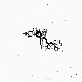 COC(C)(C)CC(C)CCc1nc2cc(Cl)c(N3CCNCC3)cc2[nH]1.Cl.Cl